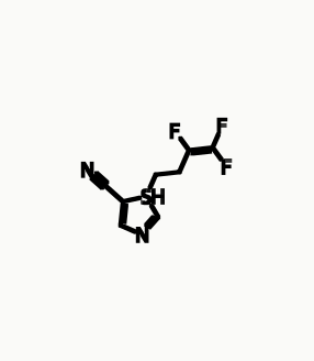 N#CC1=CN=C[SH]1CCC(F)=C(F)F